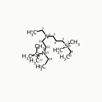 CCN(CCC[Si](C)(C)CC)CCN(CC)[Si](C)(C)C